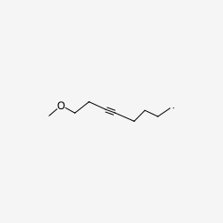 [CH2]CCCC#CCCOC